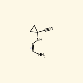 N#CC1(N/C=C\N)CC1